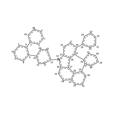 c1ccc(-c2ccccc2-c2ccc(-n3c4ccc(-c5ccccc5)c5c4c4c6c(cccc6ccc43)-c3ccccc3-5)cc2)cc1